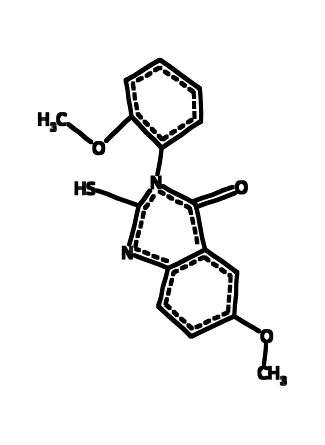 COc1ccc2nc(S)n(-c3ccccc3OC)c(=O)c2c1